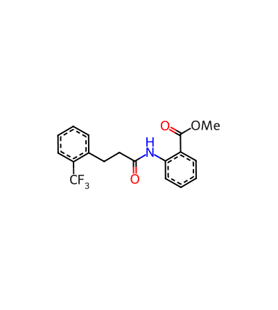 COC(=O)c1ccccc1NC(=O)CCc1ccccc1C(F)(F)F